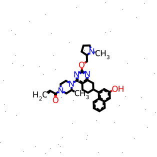 C=CC(=O)N1CCN(c2nc(OCC3CCCN3C)nc3c2CCC(c2cc(O)cc4ccccc24)C3)C(C)C1